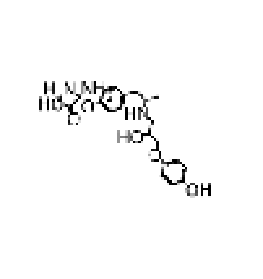 CC(Cc1ccc(OC(N)(N)C(=O)O)cc1)NCC(O)COc1ccc(O)cc1